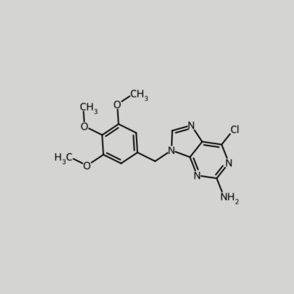 COc1cc(Cn2cnc3c(Cl)nc(N)nc32)cc(OC)c1OC